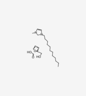 CCCCCCCCCCCCN1C=CN(C)C1.O=CO.OCc1ccco1